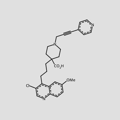 COc1ccc2ncc(Cl)c(CCCC3(C(=O)O)CCN(CC#Cc4ccncc4)CC3)c2c1